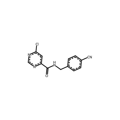 N#Cc1ccc(CNC(=O)c2cc(Cl)ncn2)cc1